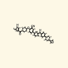 Cc1nc(C(=O)N2CCC(Oc3ccc(-c4ccnc(Nc5ccc(N6CCN(C7COC7)CC6)cc5)n4)cc3C#N)CC2)c[nH]1